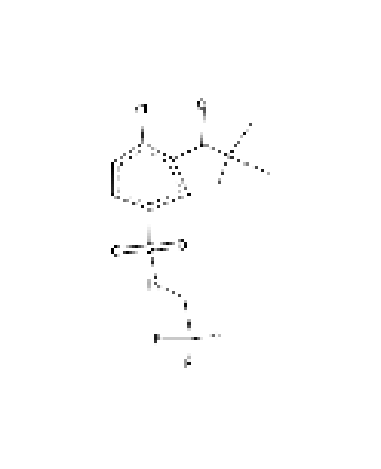 CC(C)(C)C(=O)c1cc(S(=O)(=O)NCC(F)(F)F)ccc1Cl